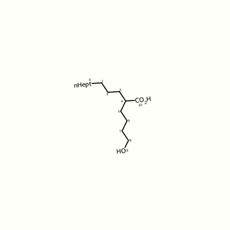 CCCCCCCCCCC(CCCCO)C(=O)O